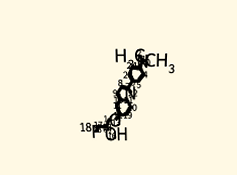 CN(C)c1ccc(-c2ccc3cc(OC[C@H](O)C[18F])ccc3n2)cc1